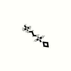 C1CCC1.CS(=O)(=O)OCCOS(C)(=O)=O